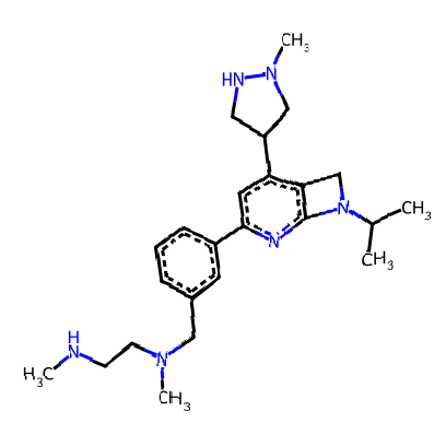 CNCCN(C)Cc1cccc(-c2cc(C3CNN(C)C3)c3c(n2)N(C(C)C)C3)c1